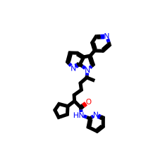 CC(CCCC(C(=O)Nc1ccccn1)C1CCCC1)n1cc(-c2ccncc2)c2cccnc21